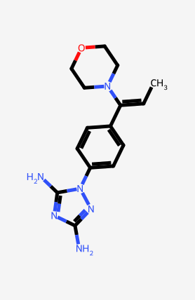 CC=C(c1ccc(-n2nc(N)nc2N)cc1)N1CCOCC1